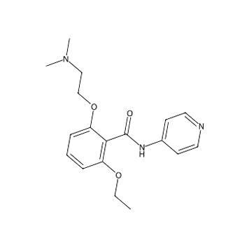 CCOc1cccc(OCCN(C)C)c1C(=O)Nc1ccncc1